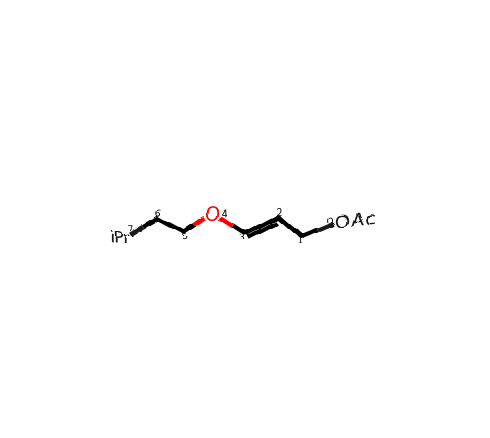 CC(=O)OCC=COCCC(C)C